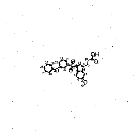 COc1ccc2c(c1)c(CCC(=O)O)cn2S(=O)(=O)c1cccc(Oc2ccccc2)c1